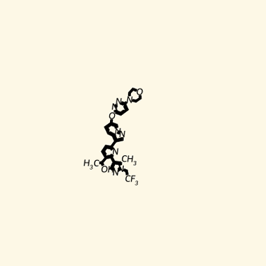 Cc1c(-c2nc(-c3cnn4cc(Oc5ccc(N6CCOCC6)nn5)ccc34)ccc2C(C)O)cnn1CC(F)(F)F